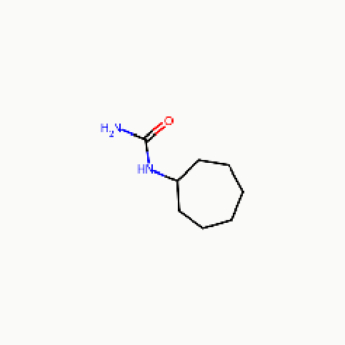 NC(=O)NC1CCCCCC1